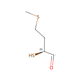 CSCC[C@H](S)[C]=O